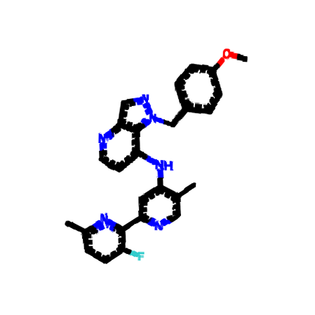 COc1ccc(Cn2ncc3nccc(Nc4cc(-c5nc(C)ccc5F)ncc4C)c32)cc1